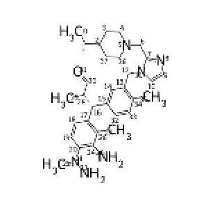 CCC1CCN(Cc2nccn2Cc2cc([C@H](c3ccc(N(C)N)c(N)c3C)C(C)C=O)ccc2C)CC1